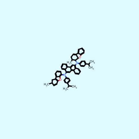 CC1C=Cc2oc3c(N(c4ccc(C(C)C)cc4)c4cc5c6ccccc6c(N(c6ccc(C(C)C)cc6)C6C(C)CC=C7c8ccccc8OC76)cc5c5ccccc45)cccc3c2C1